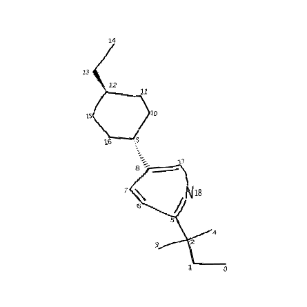 CCC(C)(C)c1ccc([C@H]2CC[C@H](CC)CC2)cn1